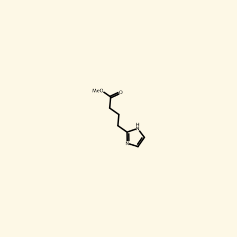 COC(=O)CCCc1n[c]c[nH]1